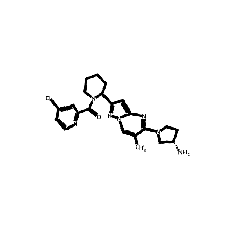 Cc1cn2nc(C3CCCCN3C(=O)c3cc(Cl)ccn3)cc2nc1N1CC[C@H](N)C1